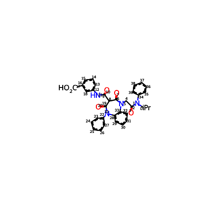 CC(C)N(C(=O)CN1C(=O)C(C(=O)Nc2cccc(C(=O)O)c2)C(=O)N(c2ccccc2)c2ccccc21)c1ccccc1